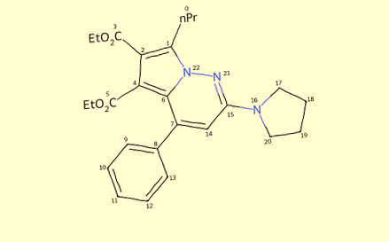 CCCc1c(C(=O)OCC)c(C(=O)OCC)c2c(-c3ccccc3)cc(N3CCCC3)nn12